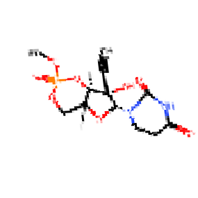 C#C[C@@]1(O)[C@@H]2OP(=O)(OC(C)C)OC[C@H]2O[C@H]1N1CCC(=O)NC1=O